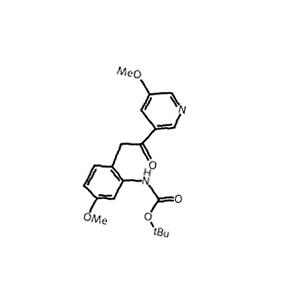 COc1cncc(C(=O)Cc2ccc(OC)cc2NC(=O)OC(C)(C)C)c1